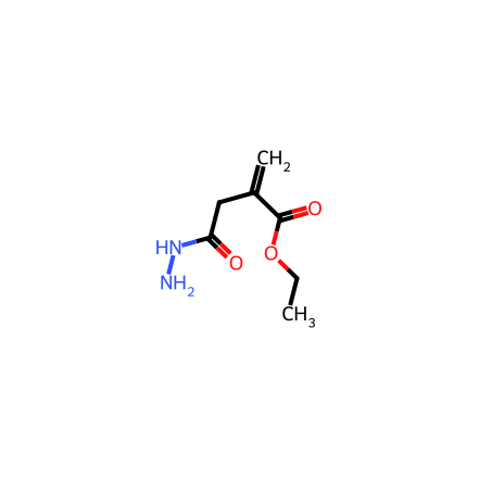 C=C(CC(=O)NN)C(=O)OCC